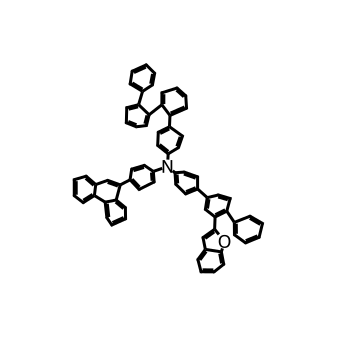 c1ccc(-c2ccc(-c3ccc(N(c4ccc(-c5ccccc5-c5ccccc5-c5ccccc5)cc4)c4ccc(-c5cc6ccccc6c6ccccc56)cc4)cc3)cc2-c2cc3ccccc3o2)cc1